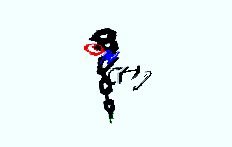 Cc1cc(-c2ccc(F)cc2)ccc1C1CCN(C2Cc3ccccc3C2=O)CC1